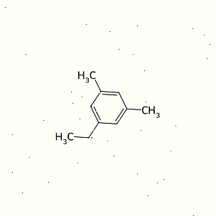 C[CH]c1cc(C)cc(C)c1